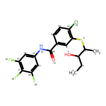 CCC(O)C(C)Sc1cc(C(=O)Nc2cc(F)c(F)c(F)c2)ccc1Cl